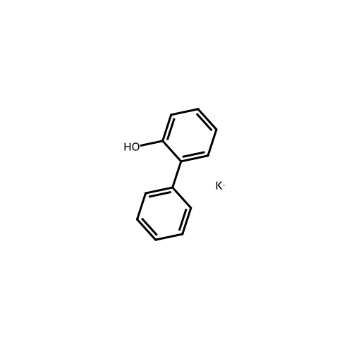 Oc1ccccc1-c1ccccc1.[K]